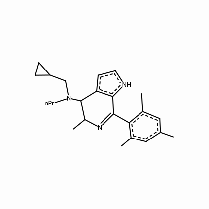 CCCN(CC1CC1)C1c2cc[nH]c2C(c2c(C)cc(C)cc2C)=NC1C